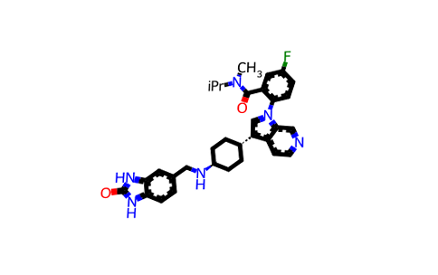 CC(C)N(C)C(=O)c1cc(F)ccc1-n1cc([C@H]2CC[C@H](NCc3ccc4[nH]c(=O)[nH]c4c3)CC2)c2ccncc21